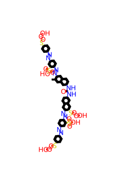 Cc1cc2cc(NC(=O)Nc3ccc4cc(/N=N/c5ccc(/N=N/c6ccc(SOOO)cc6)cc5S(=O)(=O)O)c(SOOO)cc4c3)ccc2cc1/N=N/c1ccc(/N=N/c2ccc(SOOO)cc2)cc1S(=O)(=O)O